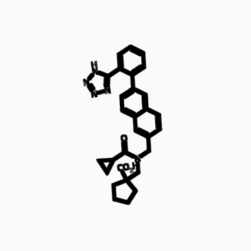 O=C(C1CC1)N(Cc1ccc2cc(-c3ccccc3-c3nnn[nH]3)ccc2c1)CC1(C(=O)O)CCCC1